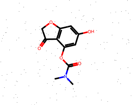 CN(C)C(=O)Oc1cc(O)cc2c1C(=O)CO2